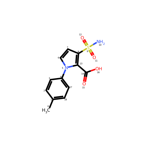 Cc1ccc(-n2ccc(S(N)(=O)=O)c2C(=O)O)cc1